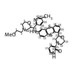 COCCN1CCOC(C(Nc2ccc3c(c2)Sc2cccc(C4CN(c5ccc[nH]c5=O)CCO4)c2S3)c2ccc(C)cn2)C1